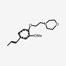 C/C=C/c1ccc(OCCN2CCOCC2)c(OC)c1